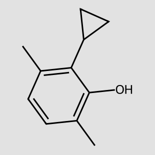 Cc1ccc(C)c(C2CC2)c1O